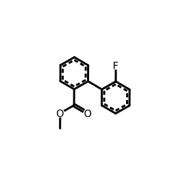 COC(=O)c1ccccc1-c1ccccc1F